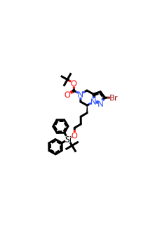 CC(C)(C)OC(=O)N1Cc2cc(Br)nn2[C@@H](CCCCO[Si](c2ccccc2)(c2ccccc2)C(C)(C)C)C1